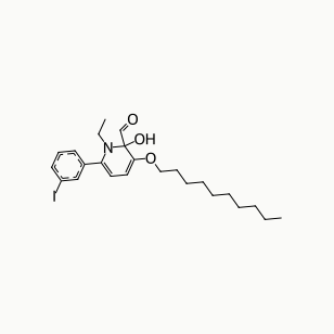 CCCCCCCCCCOC1=CC=C(c2cccc(I)c2)N(CC)C1(O)C=O